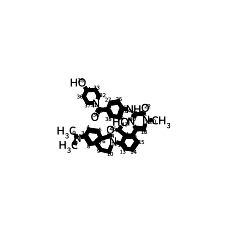 CN(C)c1ccc2c(c1)CCN(c1cccc(-c3cn(C)c(=O)c(Nc4ccc(C(=O)N5CCC(O)CC5)cc4)n3)c1CO)C2=O